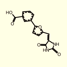 O=C1NC(=O)/C(=C\c2ccc(-c3cccc(C(=O)O)c3)o2)N1